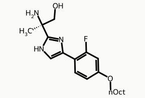 CCCCCCCCOc1ccc(-c2c[nH]c([C@@](C)(N)CO)n2)c(F)c1